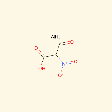 O=CC(C(=O)O)[N+](=O)[O-].[AlH3]